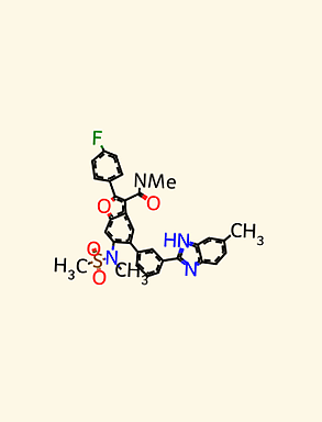 CNC(=O)c1c(-c2ccc(F)cc2)oc2cc(N(C)S(C)(=O)=O)c(-c3cccc(-c4nc5ccc(C)cc5[nH]4)c3)cc12